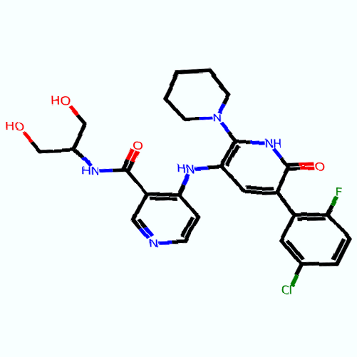 O=C(NC(CO)CO)c1cnccc1Nc1cc(-c2cc(Cl)ccc2F)c(=O)[nH]c1N1CCCCC1